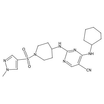 Cn1cc(S(=O)(=O)N2CCC(Nc3ncc(C#N)c(NC4CCCCC4)n3)CC2)cn1